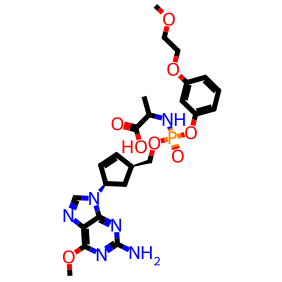 COCCOc1cccc(OP(=O)(NC(C)C(=O)O)OC[C@@H]2C=C[C@H](n3cnc4c(OC)nc(N)nc43)C2)c1